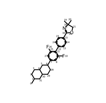 CC1CCC2CC(c3cc(F)c(-c4ccc(C5=NC(C)(C)CO5)cc4)c(F)c3)CCC2C1